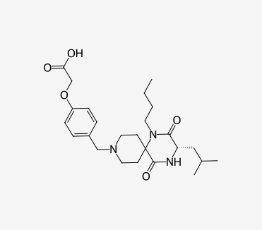 CCCCN1C(=O)[C@H](CC(C)C)NC(=O)C12CCN(Cc1ccc(OCC(=O)O)cc1)CC2